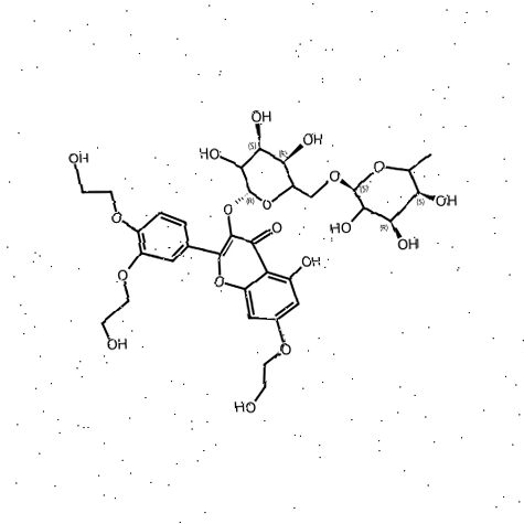 CC1O[C@H](OCC2O[C@H](Oc3c(-c4ccc(OCCO)c(OCCO)c4)oc4cc(OCCO)cc(O)c4c3=O)C(O)[C@@H](O)[C@H]2O)C(O)[C@H](O)[C@@H]1O